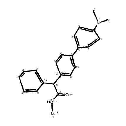 CN(C)c1ccc(-c2ccc(C(C(=O)NO)c3ccccc3)cc2)cc1